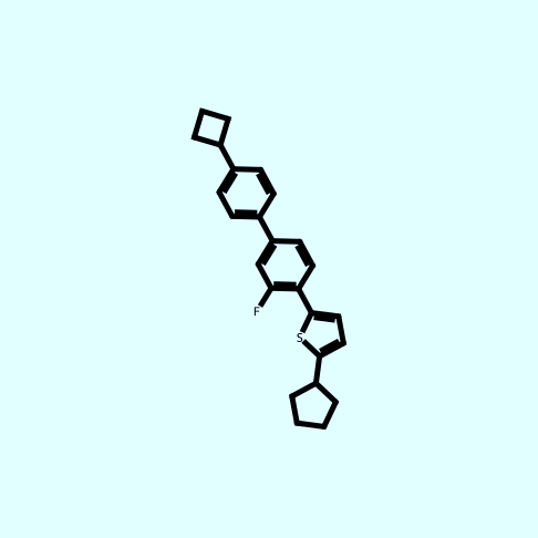 Fc1cc(-c2ccc(C3CCC3)cc2)ccc1-c1ccc(C2CCCC2)s1